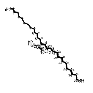 CC(C)CCCCCCCCCCCCCCCCCCCCCCCCCCCCO.CCCCCCCCCCCC(=O)O